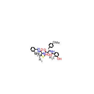 COc1ccc(C[C@H](NC(=O)c2cccc(O)c2C)[C@H](O)C(=O)N2CSC(C)(C)C2C(=O)NCc2ccccc2C)cc1